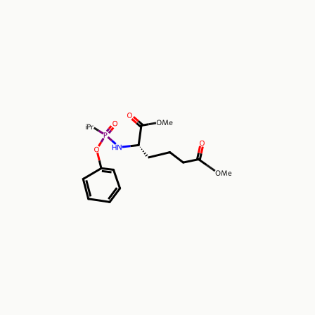 COC(=O)CCC[C@H](NP(=O)(Oc1ccccc1)C(C)C)C(=O)OC